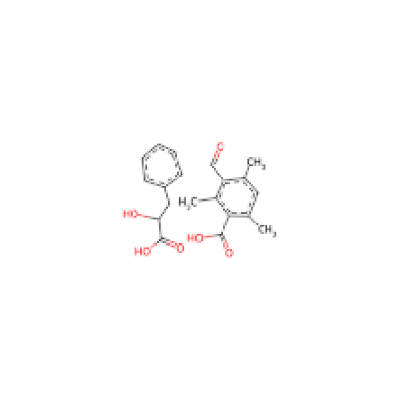 Cc1cc(C)c(C(=O)O)c(C)c1C=O.O=C(O)C(O)Cc1ccccc1